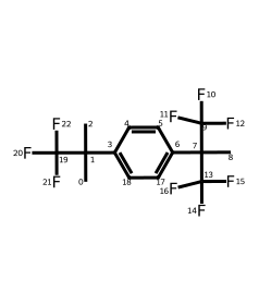 CC(C)(c1ccc(C(C)(C(F)(F)F)C(F)(F)F)cc1)C(F)(F)F